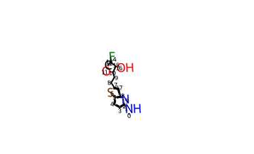 CNc1ccc2sc(CCC3OCC(F)C3O)cc2n1